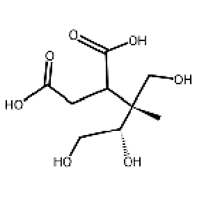 C[C@](CO)(C(CC(=O)O)C(=O)O)[C@H](O)CO